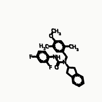 COc1cc(C)c(CN(C(=O)Nc2ccc(F)cc2F)C2Cc3ccccc3C2)cc1C